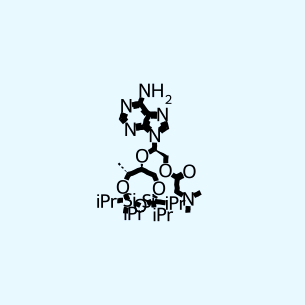 CC(C)[Si]1(C(C)C)OC[C@@H](O[C@H](COC(=O)CN(C)C)n2cnc3c(N)ncnc32)[C@@H](C)O[Si](C(C)C)(C(C)C)O1